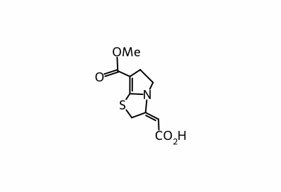 COC(=O)C1=C2SCC(=CC(=O)O)N2CC1